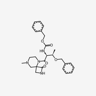 C[C@@H](OCc1ccccc1)[C@H](NC(=O)OCc1ccccc1)C(=O)N1CCN(C)CC12CNC2=O